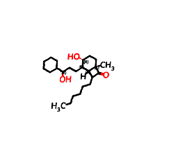 CCCCCCC1C(=O)[C@@]2(C)CC[C@@H](O)[C@H](CC[C@@H](O)C3CCCCC3)[C@@H]12